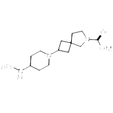 CCCNC1CCN(C2CC3(CCN(C(=O)OC)C3)C2)CC1